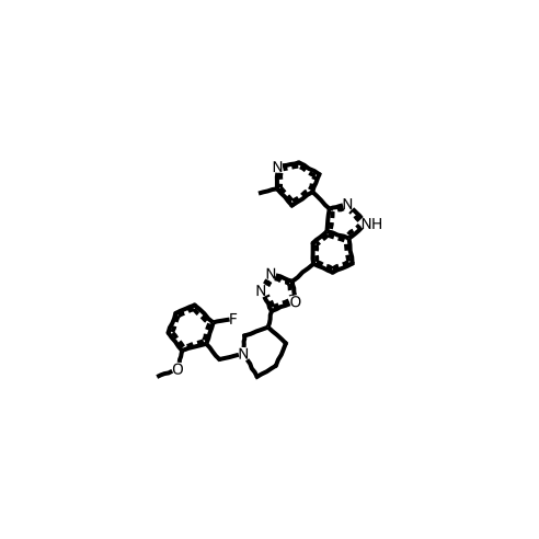 COc1cccc(F)c1CN1CCCC(c2nnc(-c3ccc4[nH]nc(-c5ccnc(C)c5)c4c3)o2)C1